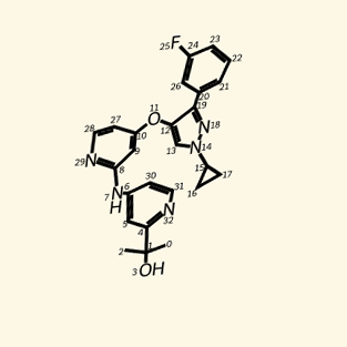 CC(C)(O)c1cc(Nc2cc(Oc3cn(C4CC4)nc3-c3cccc(F)c3)ccn2)ccn1